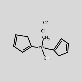 [CH3][Zr+2]([CH3])([C]1=CC=CC1)[C]1=CC=CC1.[Cl-].[Cl-]